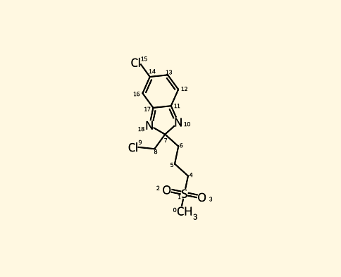 CS(=O)(=O)CCCC1(CCl)N=c2ccc(Cl)cc2=N1